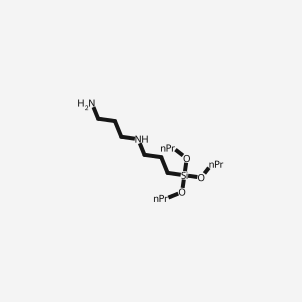 CCCO[Si](CCCNCCCN)(OCCC)OCCC